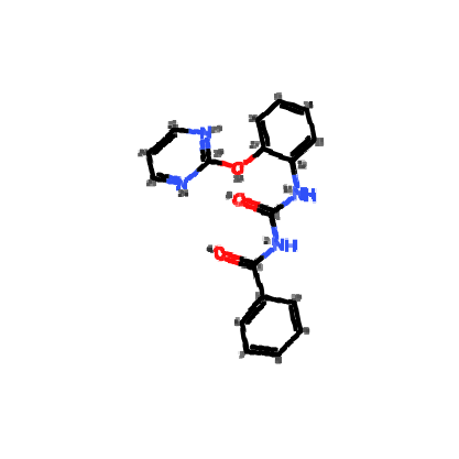 O=C(NC(=O)c1ccccc1)Nc1ccccc1Oc1ncccn1